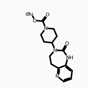 CC(C)(C)OC(=O)N1CCC(N2CCc3ncccc3NC2=O)CC1